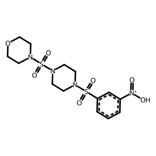 O=[N+](O)c1cccc(S(=O)(=O)N2CCN(S(=O)(=O)N3CCOCC3)CC2)c1